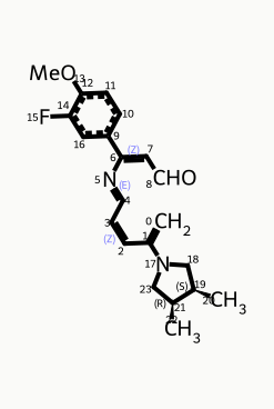 C=C(\C=C/C=N/C(=C\C=O)c1ccc(OC)c(F)c1)N1C[C@@H](C)[C@@H](C)C1